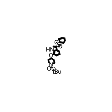 CC(C)(C)OC(=O)N1CCC(Oc2cccc3c(S(=O)(=O)c4ccccc4)c[nH]c23)CC1